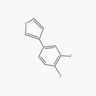 Fc1ccc(-c2[c]scc2)cc1F